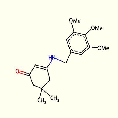 COc1cc(CNC2=CC(=O)CC(C)(C)C2)cc(OC)c1OC